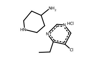 CCc1ncncc1Cl.Cl.NC1CCNCC1